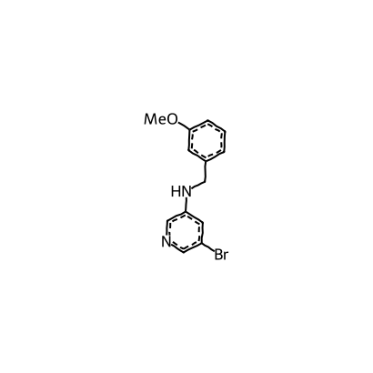 COc1cccc(CNc2cncc(Br)c2)c1